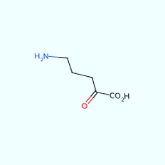 NCCCC(=O)C(=O)O